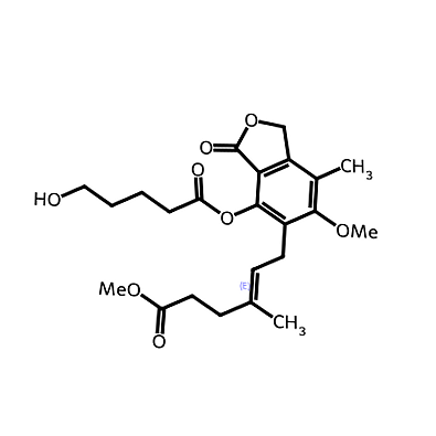 COC(=O)CC/C(C)=C/Cc1c(OC)c(C)c2c(c1OC(=O)CCCCO)C(=O)OC2